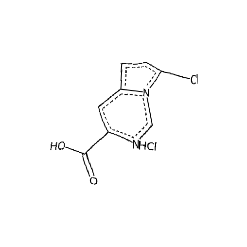 Cl.O=C(O)c1cc2ccc(Cl)n2cn1